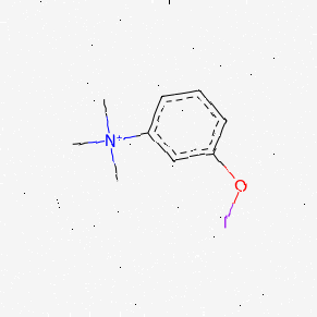 C[N+](C)(C)c1cccc(OI)c1